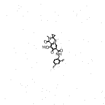 C[C@@H]1n2cc(C(=O)NCc3ccc(F)cc3F)c(=O)c(O)c2C(=O)N(C)C12CC2